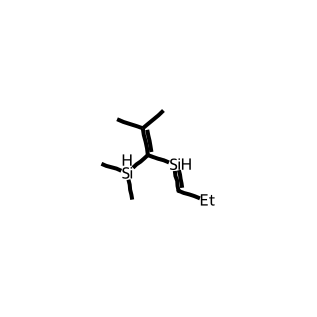 CCC=[SiH]C(=C(C)C)[SiH](C)C